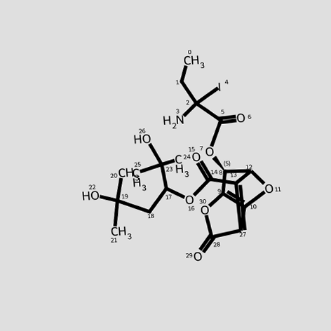 CCC(N)(I)C(=O)O[C@@H]1C2=C3OC1C(C(=O)OC(CC(C)(C)O)C(C)(C)O)=C3C(=O)O2